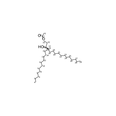 CC(=O)[O-].CCCCCCCCCCCC[N+](C)(CCCCCCCCCCCC)C(O)CC